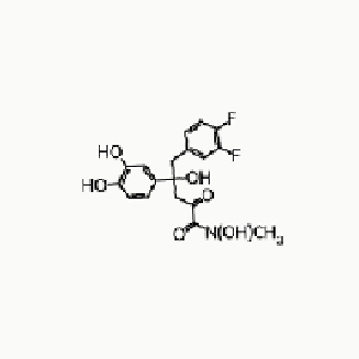 CN(O)C(=O)C(=O)CC(O)(Cc1ccc(F)c(F)c1)c1ccc(O)c(O)c1